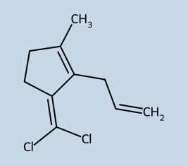 C=CCC1=C(C)CCC1=C(Cl)Cl